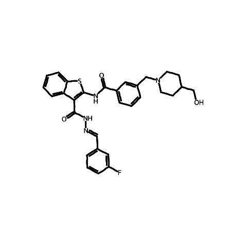 O=C(Nc1sc2ccccc2c1C(=O)N/N=C/c1cccc(F)c1)c1cccc(CN2CCC(CO)CC2)c1